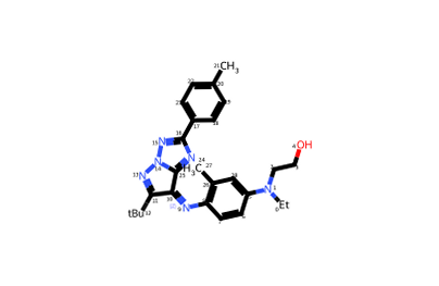 CCN(CCO)c1ccc(/N=C2/C(C(C)(C)C)=Nn3nc(-c4ccc(C)cc4)nc32)c(C)c1